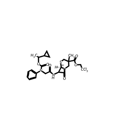 CC(OC(=O)N(CC(=O)NC1C(=O)N2CC(C)(C(=O)OCC(Cl)(Cl)Cl)CS[C@H]12)c1ccccc1)C1CC1